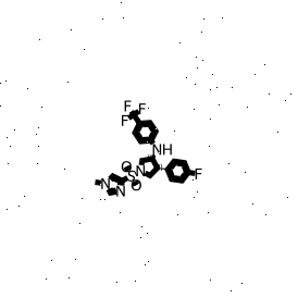 Cn1cnc(S(=O)(=O)N2C[C@@H](Nc3ccc(C(F)(F)F)cc3)[C@H](c3ccc(F)cc3)C2)c1